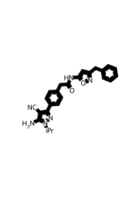 CC(C)n1nc(-c2ccc(CC(=O)Nc3cc(Cc4ccccc4)no3)cc2)c(C#N)c1N